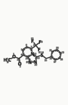 COC(=O)c1ccc(C(F)(F)F)n2c(SCc3ccccc3)nnc12